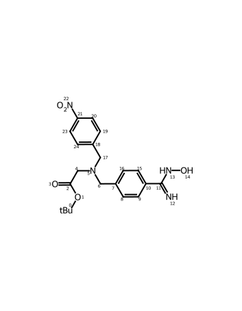 CC(C)(C)OC(=O)CN(Cc1ccc(C(=N)NO)cc1)Cc1ccc([N+](=O)[O-])cc1